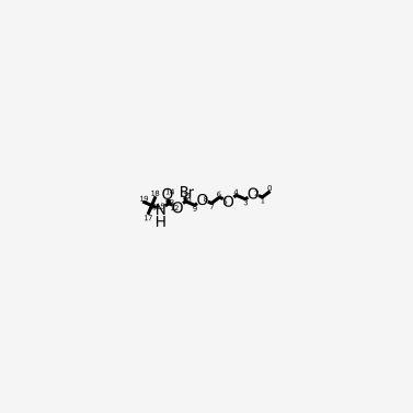 CCOCCOCCOCC(Br)OC(=O)NC(C)(C)C